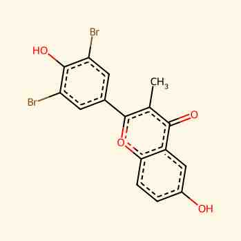 Cc1c(-c2cc(Br)c(O)c(Br)c2)oc2ccc(O)cc2c1=O